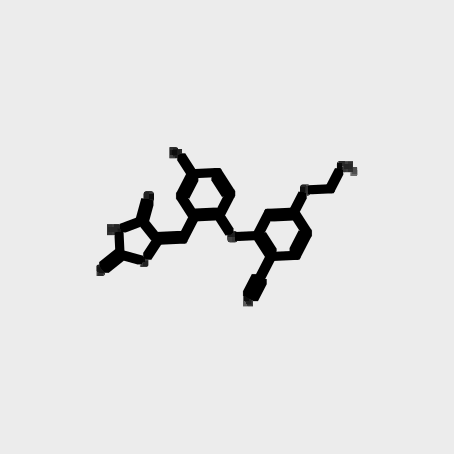 CCOc1ccc(C#N)c(Oc2ccc(Br)cc2C=C2SC(=S)NC2=O)c1